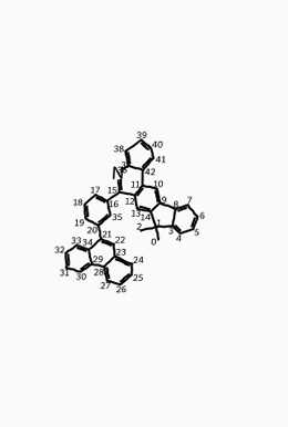 CC1(C)c2ccccc2-c2cc3c(cc21)c(-c1cccc(-c2cc4ccccc4c4ccccc24)c1)nc1ccccc13